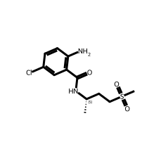 C[C@@H](CCS(C)(=O)=O)NC(=O)c1cc(Cl)ccc1N